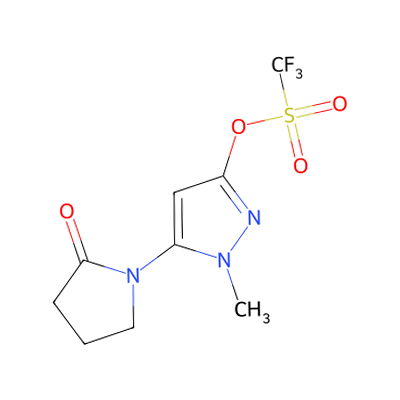 Cn1nc(OS(=O)(=O)C(F)(F)F)cc1N1CCCC1=O